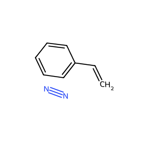 C=Cc1ccccc1.N#N